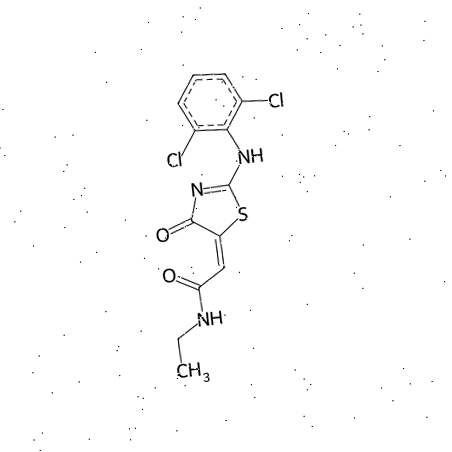 CCNC(=O)C=C1SC(Nc2c(Cl)cccc2Cl)=NC1=O